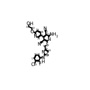 N#Cc1c(N)nc(SCc2csc(Nc3cccc(Cl)c3F)n2)c(C#N)c1-c1ccc(OCCO)nc1